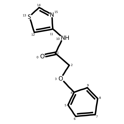 O=C(COc1ccccc1)Nc1cscn1